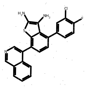 Nc1sc2c(-c3cncc4ccccc34)ccc(-c3ccc(F)c(Cl)c3)c2c1N